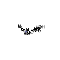 CCC(C)(CCOC(C)(CC)Cc1cn(C[C@H]2O[C@H](OC)C[C@@H](O)[C@@H]2O)nn1)NS(=O)(=O)/C(C#N)=C/c1ccc2cc(N3CCN(C)CC3)ccc2c1